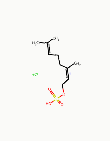 CC(C)=CCC/C(C)=C\COS(=O)(=O)O.Cl